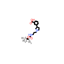 CC(C)(C)OC(=O)NCCCN1CCC(c2cccc(C(=O)O)c2)C1